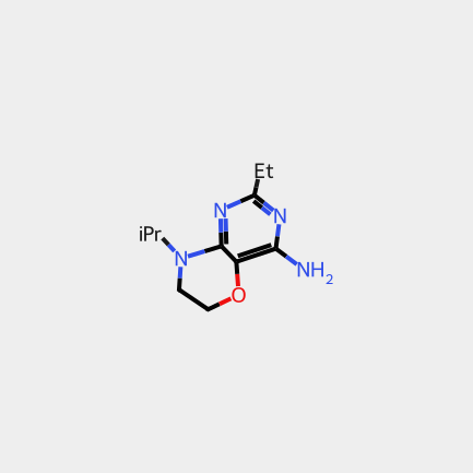 CCc1nc(N)c2c(n1)N(C(C)C)CCO2